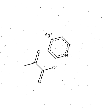 CC(=O)C(=O)[O-].[Ag+].c1ccncc1